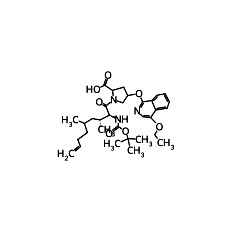 C=CCCC(C)C[C@@H](C)[C@H](NC(=O)OC(C)(C)C)C(=O)N1CC(Oc2ncc(OCC)c3ccccc23)CC1C(=O)O